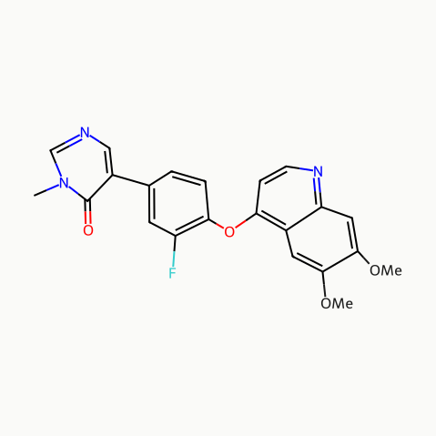 COc1cc2nccc(Oc3ccc(-c4cncn(C)c4=O)cc3F)c2cc1OC